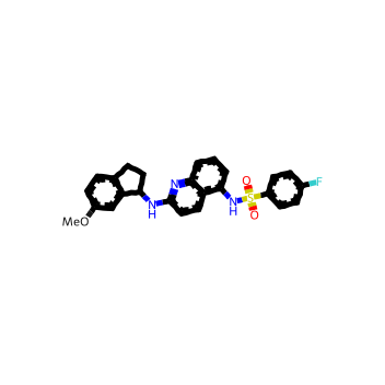 COc1ccc2c(c1)C(Nc1ccc3c(NS(=O)(=O)c4ccc(F)cc4)cccc3n1)CC2